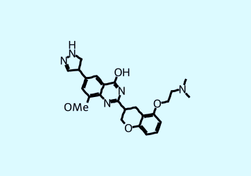 COc1cc(C2C=NNC2)cc2c(O)nc(C3COc4cccc(OCCN(C)C)c4C3)nc12